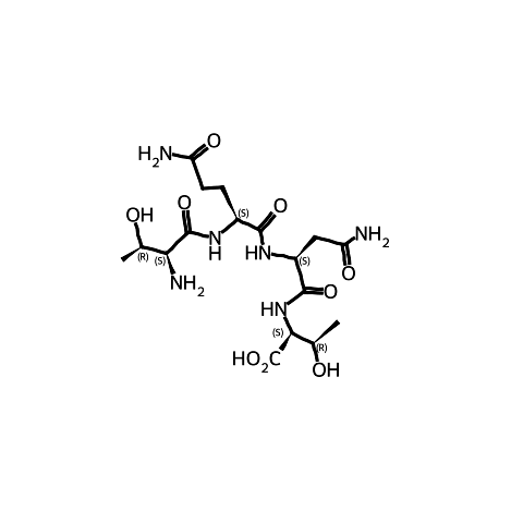 C[C@@H](O)[C@H](N)C(=O)N[C@@H](CCC(N)=O)C(=O)N[C@@H](CC(N)=O)C(=O)N[C@H](C(=O)O)[C@@H](C)O